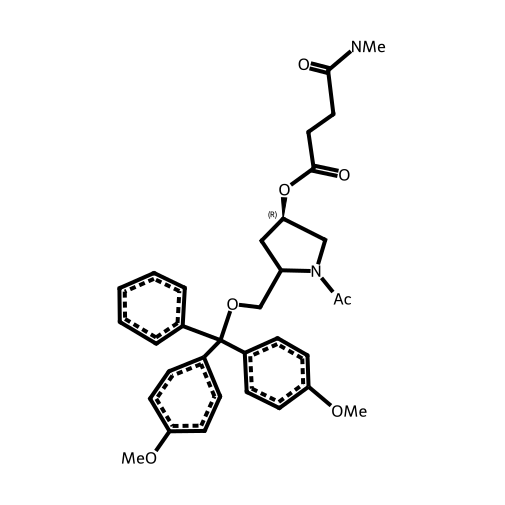 CNC(=O)CCC(=O)O[C@@H]1CC(COC(c2ccccc2)(c2ccc(OC)cc2)c2ccc(OC)cc2)N(C(C)=O)C1